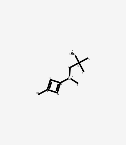 CB(CC(C)(C)C(C)(C)C)C1=CC(C)=C1